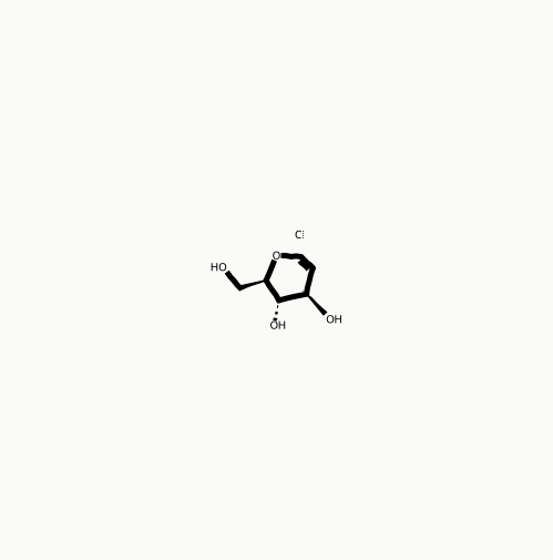 OC[C@H]1OC=C[C@@H](O)[C@@H]1O.[C]